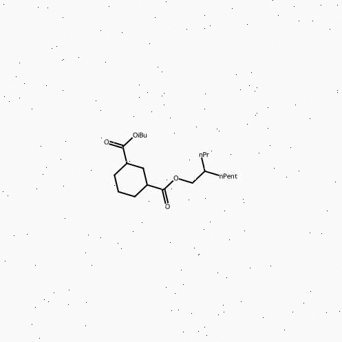 CCCCCC(CCC)COC(=O)C1CCCC(C(=O)OCC(C)C)C1